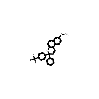 COc1ccc2c3c(ccc2c1)OC(c1ccccc1)(c1ccc(C(F)(F)F)cc1)C=C3